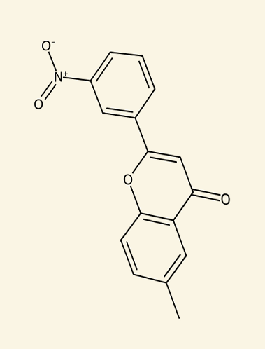 Cc1ccc2oc(-c3cccc([N+](=O)[O-])c3)cc(=O)c2c1